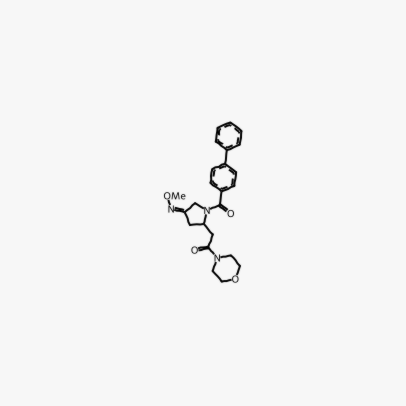 CON=C1CC(CC(=O)N2CCOCC2)N(C(=O)c2ccc(-c3ccccc3)cc2)C1